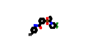 C=CC(N1CCCC(F)(F)C1)S(=O)(=O)c1cccc(C(=O)Nc2ccc(C(C)C)cc2)c1